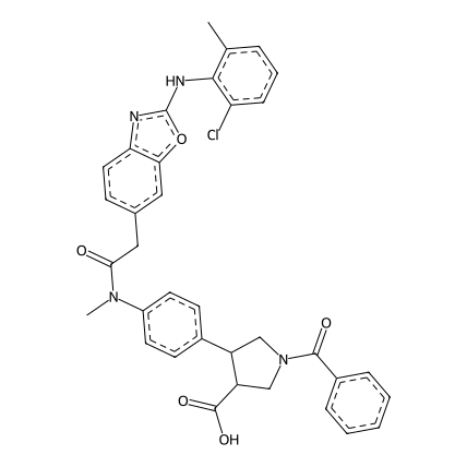 Cc1cccc(Cl)c1Nc1nc2ccc(CC(=O)N(C)c3ccc(C4CN(C(=O)c5ccccc5)CC4C(=O)O)cc3)cc2o1